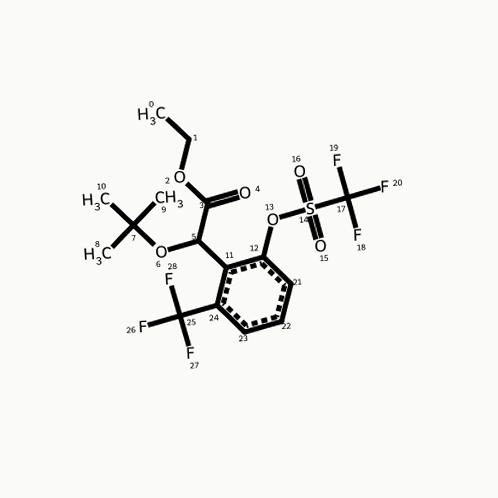 CCOC(=O)C(OC(C)(C)C)c1c(OS(=O)(=O)C(F)(F)F)cccc1C(F)(F)F